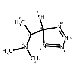 CC(N(C)C)C1(S)N=NN=N1